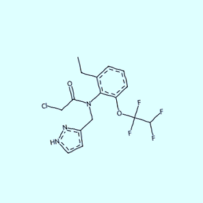 CCc1cccc(OC(F)(F)C(F)F)c1N(Cc1cc[nH]n1)C(=O)CCl